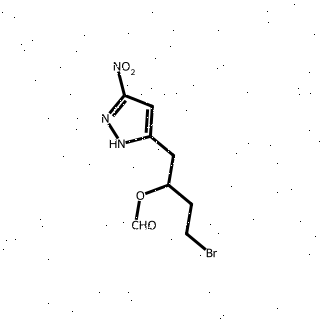 O=COC(CCBr)Cc1cc([N+](=O)[O-])n[nH]1